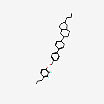 CCCc1ccc(OCc2ccc(C3=CCC(C4CCC5CC(CCC)CCC5C4)C=C3)cc2)c(F)c1F